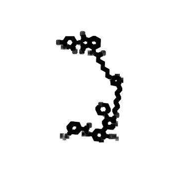 Cc1ncc(NC(=O)c2cccc(C(F)(F)F)c2)cc1-c1cnc(OCCCCCCc2cn(CCCCCC(=O)Nc3cccc4c3C(=O)N(C3CCC(=O)NC3=O)C4=O)nn2)c(N2CCOCC2)c1